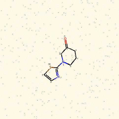 O=C1CCCN(c2nccs2)C1